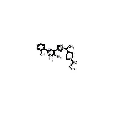 CC(C1CCN(C(=O)OC(C)(C)C)CC1)n1cc(C(/C=C(\N)c2ccccc2O)=C(N)N)cn1